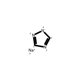 [Na+].c1nc[n-]n1